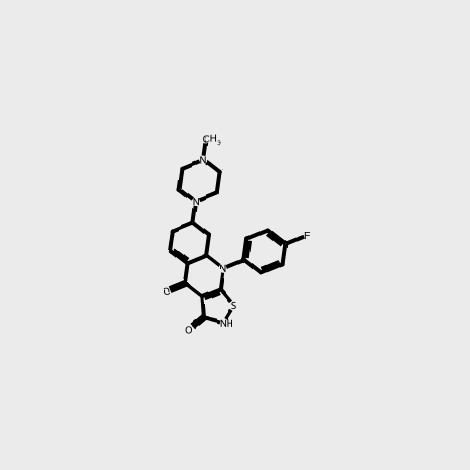 CN1CCN(C2CC=C3C(=O)c4c(s[nH]c4=O)N(c4ccc(F)cc4)C3C2)CC1